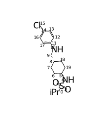 CC(C)S(=O)(=O)N[C@H]1CC[C@H](CNc2ccc(Cl)cc2)CC1